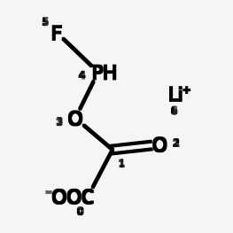 O=C([O-])C(=O)OPF.[Li+]